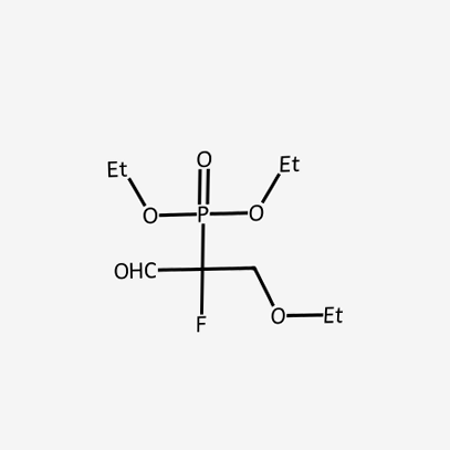 CCOCC(F)(C=O)P(=O)(OCC)OCC